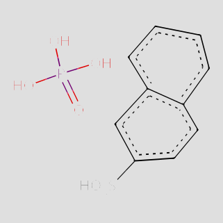 O=P(O)(O)O.O=S(=O)(O)c1ccc2ccccc2c1